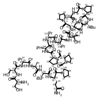 CC[C@H](C)[C@H](NC(=O)[C@H](C)NC(=O)[C@@H](NC(=O)[C@H](CO)NC(=O)[C@@H](N)CO)C(C)C)C(=O)N[C@@H](CCC(N)=O)C(=O)N1CCC[C@H]1C(=O)N1CCC[C@H]1C(=O)N1CCC[C@H]1C(=O)N[C@H](C(=O)N[C@H](C(=O)N[C@H](C(=O)N[C@H](C(=O)N[C@@H](CC(C)C)C(=O)N1CCC[C@H]1C(=O)NCC(=O)N1CCC[C@H]1C(=O)N[C@H](C(=O)N[C@@H](CC(C)C)C(=O)O)[C@@H](C)CC)[C@@H](C)O)C(C)C)C(C)C)C(C)C